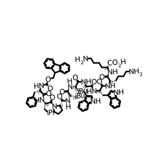 CC[C@H](C)[C@H](NC(=O)[C@@H](NC(=O)[C@@H]1CCCN1C(=O)[C@H](CC(C)C)NC(=O)[C@H](Cc1ccccc1)NC(=O)OCC1c2ccccc2-c2ccccc21)[C@@H](C)CC)C(=O)N[C@@H](Cc1c[nH]c2ccccc12)C(=O)N[C@@H](Cc1c[nH]c2ccccc12)C(=O)N[C@@H](CCCCN)C(=O)N[C@@H](CCCCN)C(=O)O